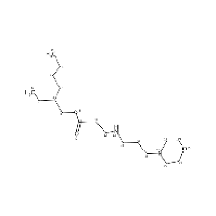 CCCCC(CC)COC(=O)CCNCCCN1CCOCC1